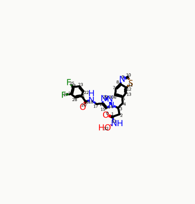 O=C(CC(Cc1ccc2ncsc2c1)n1cc(CNC(=O)c2ccc(F)c(F)c2)nn1)NO